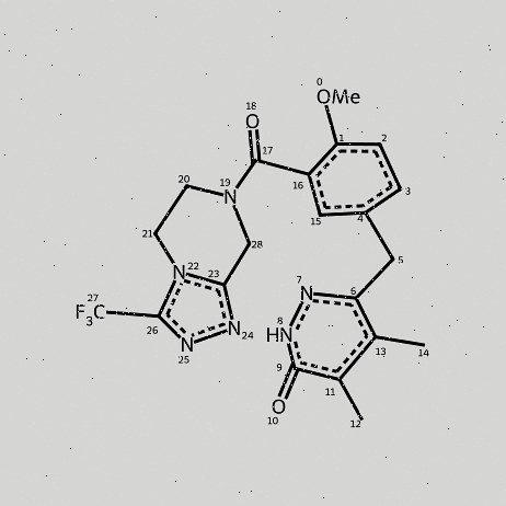 COc1ccc(Cc2n[nH]c(=O)c(C)c2C)cc1C(=O)N1CCn2c(nnc2C(F)(F)F)C1